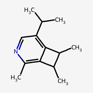 Cc1ncc(C(C)C)c2c1C(C)C2C